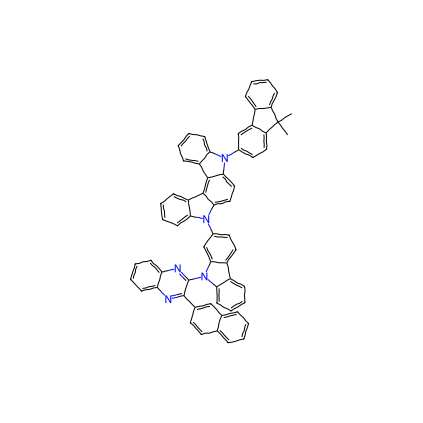 CC1(C)c2ccccc2-c2cc(-n3c4ccccc4c4c5c6ccccc6n(-c6ccc7c8ccccc8n(-c8nc9ccccc9nc8-c8ccc9ccccc9c8)c7c6)c5ccc43)ccc21